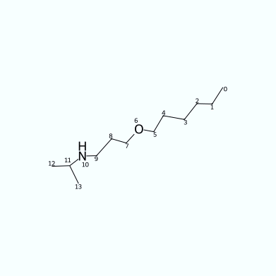 CCCCCCOCCCNC(C)C